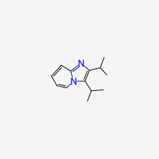 CC(C)c1nc2ccccn2c1C(C)C